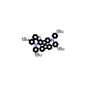 CC(C)(C)c1ccc(N(c2ccc(C(C)(C)C)cc2)c2ccc3c(c2)C2(c4ccccc4-c4ccccc42)c2cc(N(c4ccc(C(C)(C)C)cc4)c4ccc(C(C)(C)C)cc4)c4c(sc5ccccc54)c2-3)cc1